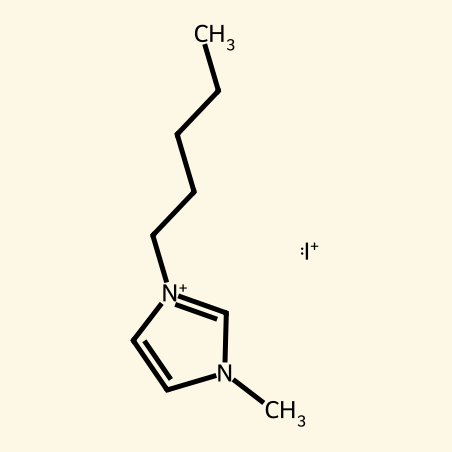 CCCCC[n+]1ccn(C)c1.[I+]